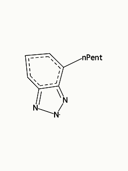 CCCCCc1cccc2c1=N[N]N=2